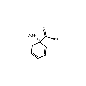 CC(=O)N[C@]1(C(=O)C(C)(C)C)C=CC=CC1